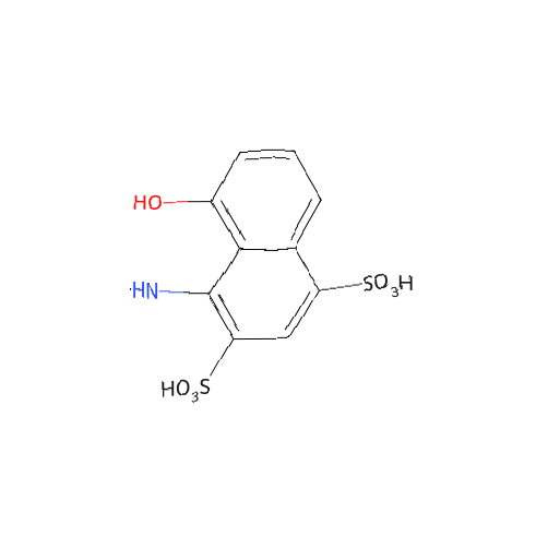 [NH]c1c(S(=O)(=O)O)cc(S(=O)(=O)O)c2cccc(O)c12